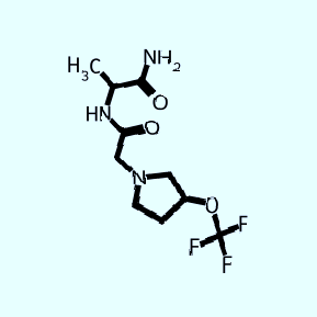 CC(NC(=O)CN1CCC(OC(F)(F)F)C1)C(N)=O